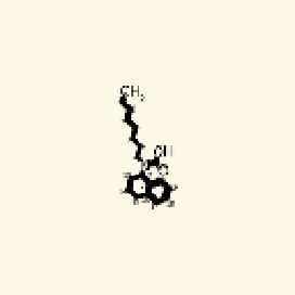 C=CCCCCCCN(C(=O)O)C1CCCc2ccccc21